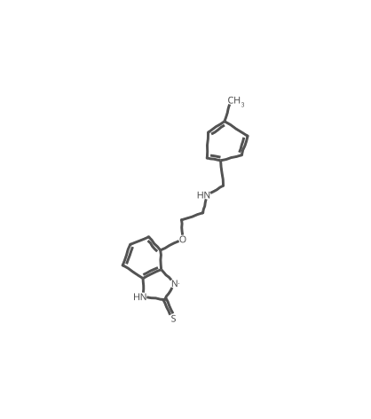 Cc1ccc(CNCCOc2cccc3c2[N]C(=S)N3)cc1